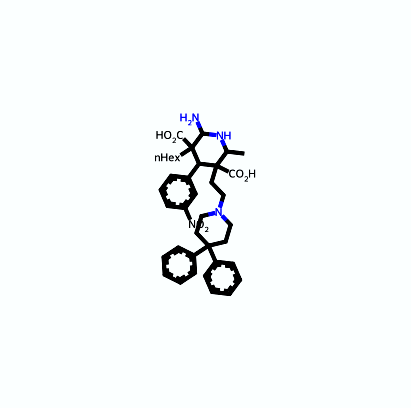 CCCCCCC1(C(=O)O)C(N)NC(C)C(CCN2CCC(c3ccccc3)(c3ccccc3)CC2)(C(=O)O)C1c1cccc([N+](=O)[O-])c1